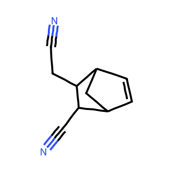 N#CCC1C2C=CC(C2)C1C#N